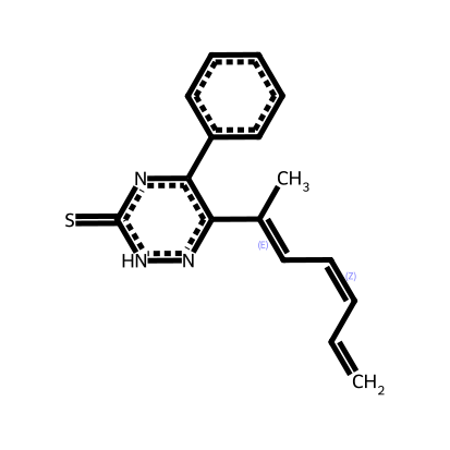 C=C/C=C\C=C(/C)c1n[nH]c(=S)nc1-c1ccccc1